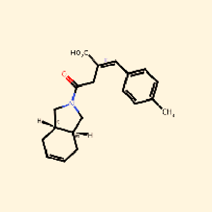 Cc1ccc(/C=C(\CC(=O)N2C[C@H]3CC=CC[C@H]3C2)C(=O)O)cc1